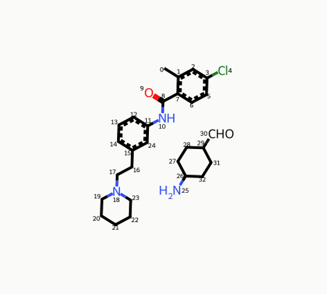 Cc1cc(Cl)ccc1C(=O)Nc1cccc(CCN2CCCCC2)c1.NC1CCC(C=O)CC1